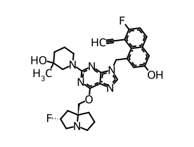 C#Cc1c(F)ccc2cc(O)cc(Cn3cnc4c(OC[C@@]56CCCN5C[C@H](F)C6)nc(N5CCCC(C)(O)C5)nc43)c12